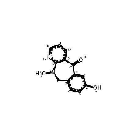 CN1Cc2ccc(O)cc2C(=O)c2cccnc21